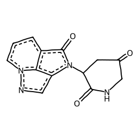 O=C1CNC(=O)C(n2c(=O)c3cccn4ncc2c34)C1